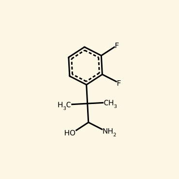 CC(C)(c1cccc(F)c1F)C(N)O